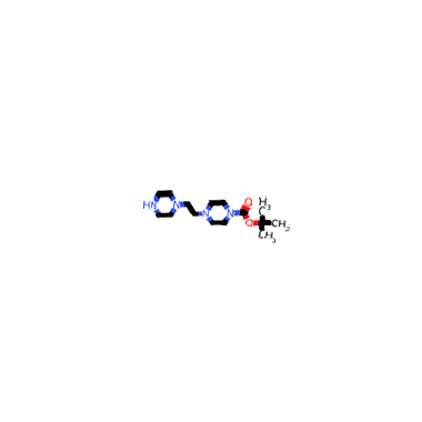 CC(C)(C)OC(=O)N1CCN(CCN2CCNCC2)CC1